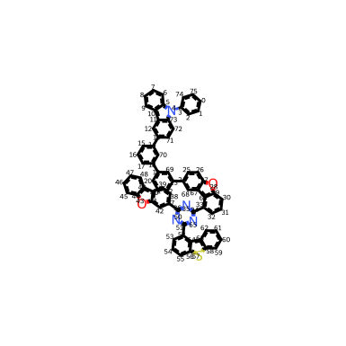 c1ccc(-n2c3ccccc3c3cc(-c4cccc(-c5cccc(-c6ccc7oc8cccc(-c9nc(-c%10ccc%11c(c%10)oc%10ccccc%10%11)nc(-c%10cccc%11sc%12ccccc%12c%10%11)n9)c8c7c6)c5)c4)ccc32)cc1